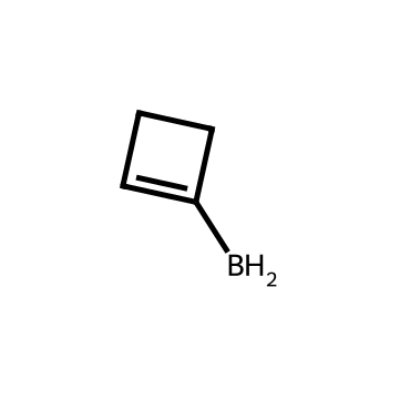 BC1=CCC1